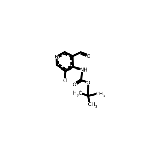 CC(C)(C)OC(=O)Nc1c(Cl)cncc1C=O